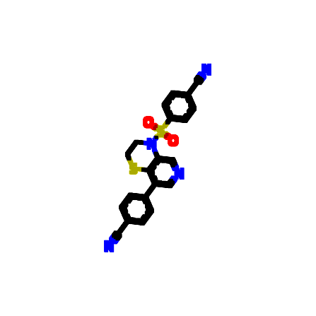 N#Cc1ccc(-c2cncc3c2SCCN3S(=O)(=O)c2ccc(C#N)cc2)cc1